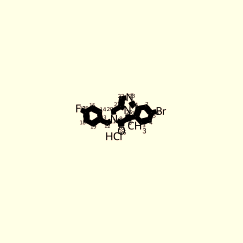 CC1(c2ccc(Br)cc2)C(=O)N(Cc2ccc(F)cc2)Cc2cncn21.Cl